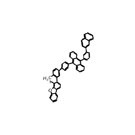 Cc1ccc(-c2ccc(-c3c4ccccc4c(-c4cccc(-c5ccc6ccccc6c5)c4)c4ccccc34)cc2)cc1-c1ccc2c(oc3ccccc32)c1I